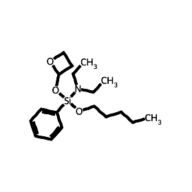 CCCCCO[Si](OC1CCO1)(c1ccccc1)N(CC)CC